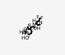 Cn1cc2c(c1C(O)Nc1ccnc(C(F)F)c1)C=C[C@H](CO)NS2(=N)=O